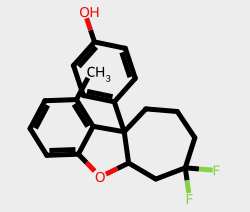 Cc1cccc2c1C1(c3ccc(O)cc3)CCCC(F)(F)CC1O2